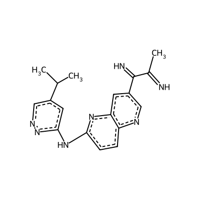 CC(=N)C(=N)c1cnc2ccc(Nc3cc(C(C)C)cnn3)nc2c1